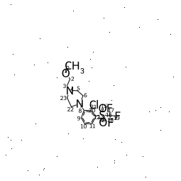 COCCN1CCN(c2cccc(S(=O)(=O)C(F)(F)F)c2Cl)CC1